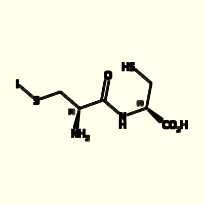 N[C@@H](CSI)C(=O)N[C@@H](CS)C(=O)O